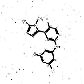 Cc1ncc(-c2nc(Nc3cc(Cl)cc(Cl)c3)ncc2F)n1C